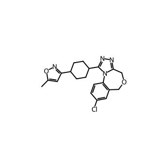 Cc1cc(C2CCC(c3nnc4n3-c3ccc(Cl)cc3COC4)CC2)no1